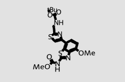 COC(=O)Nc1nc2c(OC)ccc(-c3csc(CNC(=O)OC(C)(C)C)n3)c2s1